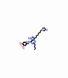 CCCCc1nc(NCc2ccc(OC)c(OC)c2)c2[nH]nc(CCCCCCN3CC[C@@H](F)C3)c2n1